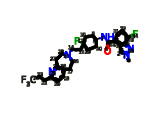 Cn1cc2c(C(=O)N[C@H]3CC[C@](F)(CCN4CCc5ccc(CCC(F)(F)F)nc5CC4)CC3)ccc(F)c2n1